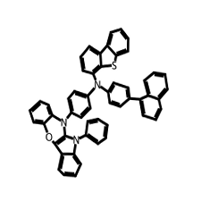 c1ccc(-n2c3c(c4ccccc42)Oc2ccccc2N3c2ccc(N(c3ccc(-c4cccc5ccccc45)cc3)c3cccc4c3sc3ccccc34)cc2)cc1